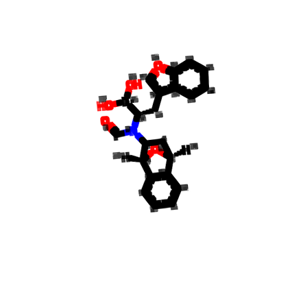 O=CN(C1C[C@@H]2O[C@@H]1c1ccccc12)[C@@H](Cc1coc2ccccc12)B(O)O